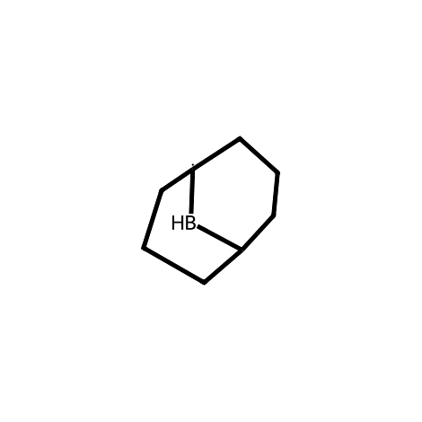 B1[C]2CCCC1CCC2